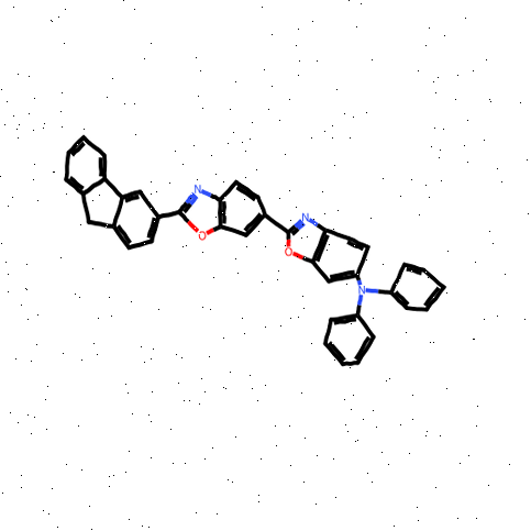 c1ccc(N(c2ccccc2)c2ccc3nc(-c4ccc5nc(-c6ccc7c(c6)-c6ccccc6C7)oc5c4)oc3c2)cc1